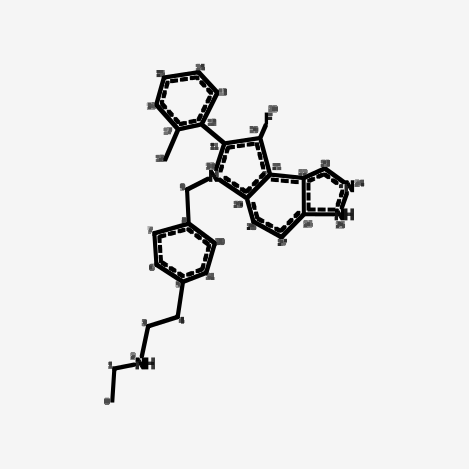 CCNCCc1ccc(Cn2c(-c3ccccc3C)c(F)c3c4cn[nH]c4ccc32)cc1